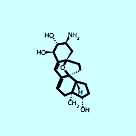 C[C@]12CC=C3C=C4[C@@H](O)[C@H](O)[C@@H](N)C[C@]45CC[C@]3(O5)[C@@H]1CC[C@@H]2O